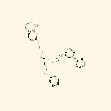 Cc1ccc(OCCN(CCCCc2ccc3c(n2)NCCC3)CC[C@H](Nc2cc(-c3ccccc3)ccn2)C(=O)O)cn1